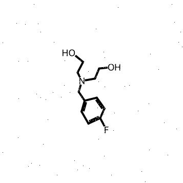 OCCN(CCO)Cc1ccc(F)cc1